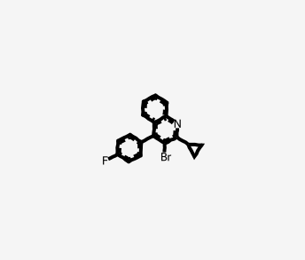 Fc1ccc(-c2c(Br)c(C3CC3)nc3ccccc23)cc1